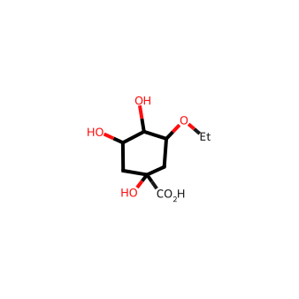 CCOC1CC(O)(C(=O)O)CC(O)C1O